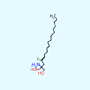 CCCCCCCCCCCCC/C=C(\F)CC(N)(CO)CO